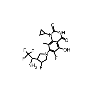 Cc1c(N2CC(F)C(C(N)C(F)(F)F)C2)c(F)c(O)c2c(=O)[nH]c(=O)n(C3CC3)c12